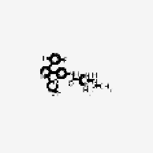 CC(C)Nc1ncc(C(=O)Nc2ccc(-c3c(-c4cc(F)ccc4F)ccnc3C3CCC(F)(F)CO3)cc2)cn1